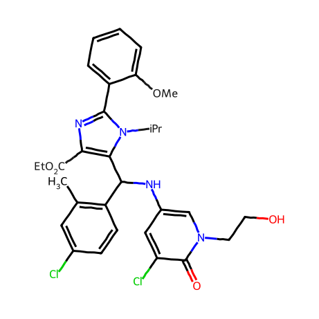 CCOC(=O)c1nc(-c2ccccc2OC)n(C(C)C)c1C(Nc1cc(Cl)c(=O)n(CCO)c1)c1ccc(Cl)cc1C